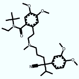 CCN(C(=O)c1cc(OC)c(OC)cc1CCN(C)CCCC(C#N)(c1ccc(OC)c(OC)c1)C(C)C)C(C)(C)C